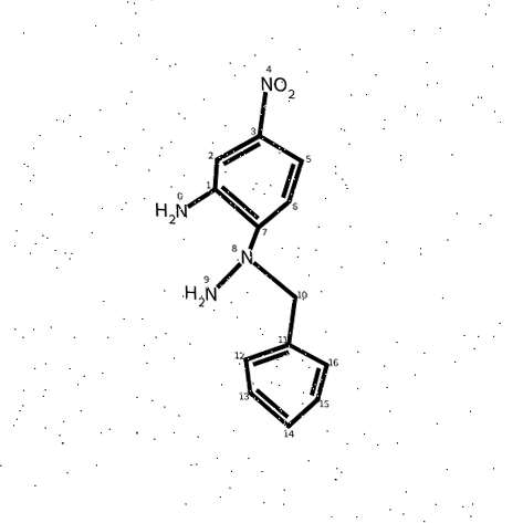 Nc1cc([N+](=O)[O-])ccc1N(N)Cc1ccccc1